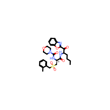 CCCCC(NC(=O)[C@@H](CS(=O)(=O)Cc1ccccc1C)NC(=O)N1CCOCC1)C(=O)c1nc2ccccc2o1